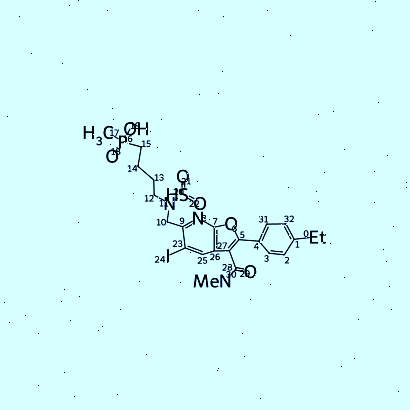 CCc1ccc(-c2oc3nc(CN(CCCCP(C)(=O)O)[SH](=O)=O)c(I)cc3c2C(=O)NC)cc1